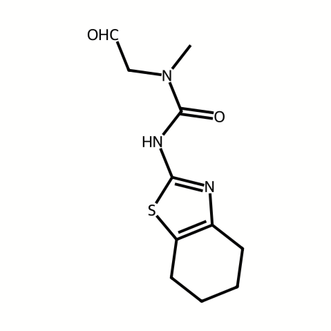 CN(CC=O)C(=O)Nc1nc2c(s1)CCCC2